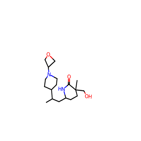 CC(CC1CCC(C)(CO)C(=O)N1)C1CCN(C2COC2)CC1